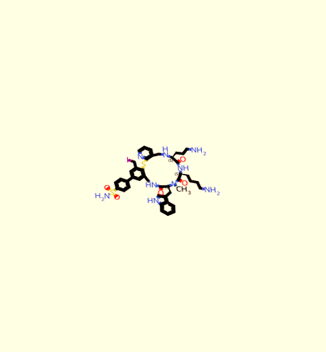 CN1C(=O)[C@H](CCCCN)NC(=O)[C@H](CCCN)NCc2cccnc2Sc2c(CI)cc(-c3ccc(S(N)(=O)=O)cc3)cc2CNC(=O)[C@@H]1Cc1c[nH]c2ccccc12